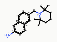 CC1(C)CCCC(C)(C)N1Cc1ccc2cc(N)ccc2c1